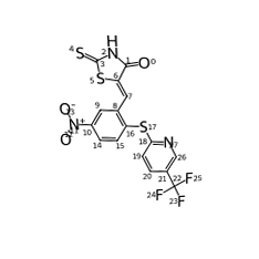 O=C1NC(=S)S/C1=C\c1cc([N+](=O)[O-])ccc1Sc1ccc(C(F)(F)F)cn1